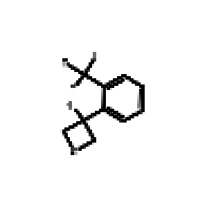 [2H]C1(c2ccccc2C(F)(F)F)COC1